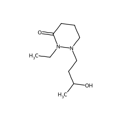 CCN1C(=O)CCCN1CCC(C)O